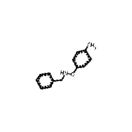 Cc1ccc(ONCc2ccccc2)cc1